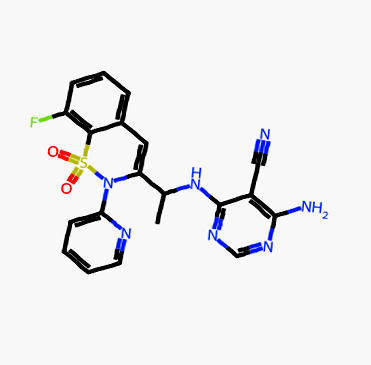 CC(Nc1ncnc(N)c1C#N)C1=Cc2cccc(F)c2S(=O)(=O)N1c1ccccn1